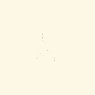 O=P(Cl)(Cl)N(CCCl)CCCl